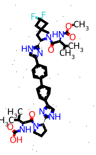 COC(=O)N[C@H](C(=O)N1CC2(C[C@H]1c1nc(-c3ccc(-c4ccc(-c5c[nH]c([C@@H]6CCCN6C(=O)[C@@H](NC(=O)O)C(C)C)n5)cc4)cc3)c[nH]1)CC(F)(F)C2)C(C)C